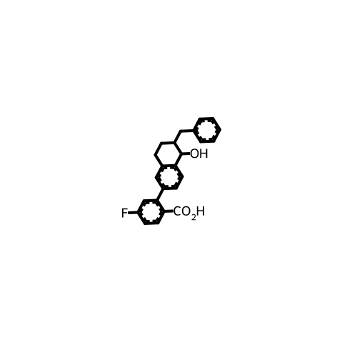 O=C(O)c1ccc(F)cc1-c1ccc2c(c1)CCC(Cc1ccccc1)C2O